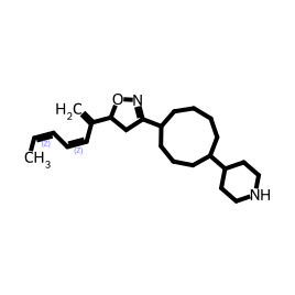 C=C(/C=C\C=C/C)C1CC(C2CCCCC(C3CCNCC3)CCC2)=NO1